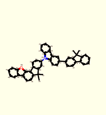 CC1(C)c2ccccc2-c2ccc(-c3ccc4c(c3)c3ccccc3n4-c3ccc4c(c3)C(C)(C)c3ccc5c(oc6ccccc65)c3-4)cc21